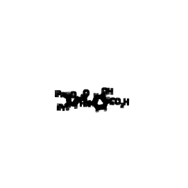 CC(C)c1cc(C(=O)Nc2ccc(C(=O)O)c(O)c2)oc1C(C)C